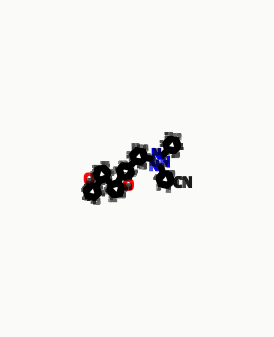 N#Cc1cccc(-c2nc(-c3ccccc3)nc(-c3cccc(-c4ccc5c(c4)oc4cccc(-c6cccc7oc8ccccc8c67)c45)c3)n2)c1